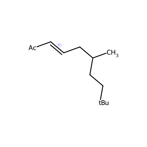 CC(=O)/C=C/CC(C)CCC(C)(C)C